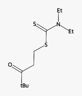 CCN(CC)C(=S)SCCC(=O)C(C)(C)C